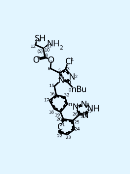 CCCCc1nc(Cl)c(COC(=O)[C@H](N)CS)n1Cc1ccc(-c2ccccc2-c2nn[nH]n2)cc1